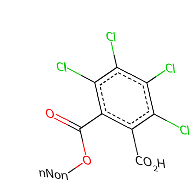 CCCCCCCCCOC(=O)c1c(Cl)c(Cl)c(Cl)c(Cl)c1C(=O)O